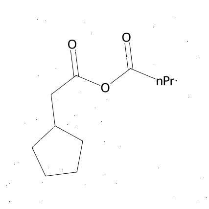 CC[CH]C(=O)OC(=O)CC1CCCC1